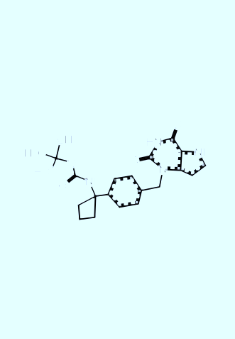 CC(C)(C)OC(=O)NC1(c2ccc(Cn3c(=S)[nH]c(=O)c4[nH]ccc43)cc2)CCC1